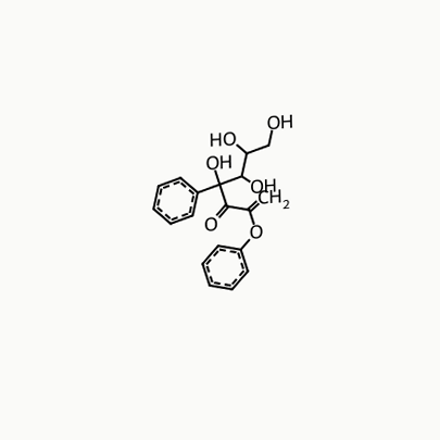 C=C(Oc1ccccc1)C(=O)C(O)(c1ccccc1)C(O)C(O)CO